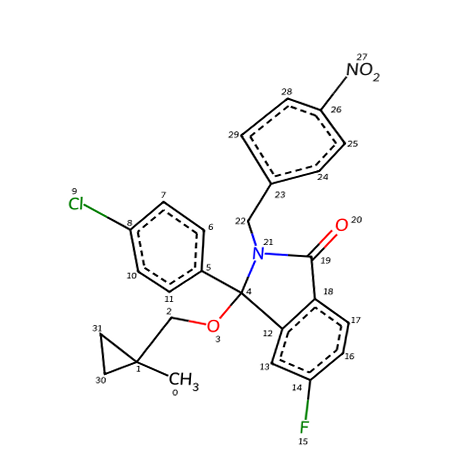 CC1(COC2(c3ccc(Cl)cc3)c3cc(F)ccc3C(=O)N2Cc2ccc([N+](=O)[O-])cc2)CC1